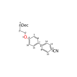 CCCCCCCCCCCCOc1ccc(-c2ccc(C#N)cc2)cc1